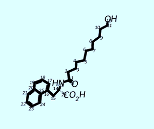 O=C(CCCCCCCCCCO)N[C@@H](Cc1cccc2ccccc12)C(=O)O